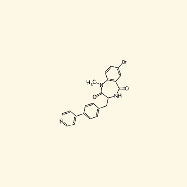 CN1C(=O)C(Cc2ccc(-c3ccncc3)cc2)NC(=O)c2cc(Br)ccc21